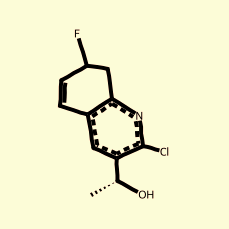 C[C@@H](O)c1cc2c(nc1Cl)CC(F)C=C2